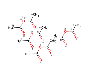 CC(=O)OC(C)=O.CC(=O)OC(C)=O.CC(=O)OC(C)=O.CC(=O)OC(C)=O.[Ti]